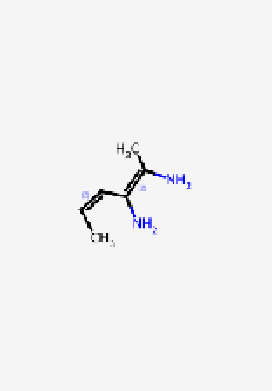 C/C=C\C(N)=C(/C)N